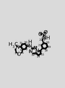 CN1CCOCc2cc(Nc3ncc4ccc(-c5cccc(CN[SH](=O)=O)c5)n4n3)ccc21